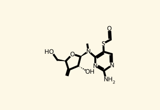 C=C1[C@@H](O)[C@H](N(C)c2nc(N)ncc2SC=O)O[C@@H]1CO